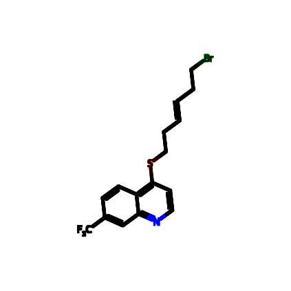 FC(F)(F)c1ccc2c(SCCC=CCCBr)ccnc2c1